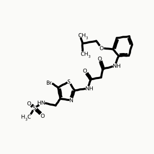 CC(C)COc1ccccc1NC(=O)CC(=O)Nc1nc(CNS(C)(=O)=O)c(Br)s1